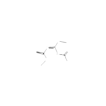 C=C(/N=C(\NC(C)=O)SC)OC